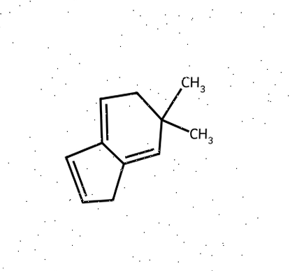 CC1(C)C=C2CC=CC2=CC1